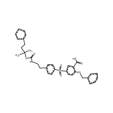 CC(C)(CCc1ccccc1)OC(=O)NCCc1ccc(S(=O)(=O)c2ccc(OCc3ccccc3)c(C(=O)O)c2)cc1